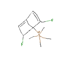 C[SH](C)(C)(C)C12C(F)=CC1=CC2F